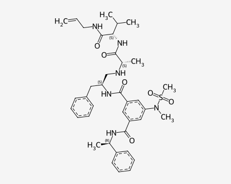 C=CCNC(=O)[C@@H](NC(=O)[C@H](C)NC[C@H](Cc1ccccc1)NC(=O)c1cc(C(=O)N[C@H](C)c2ccccc2)cc(N(C)S(C)(=O)=O)c1)C(C)C